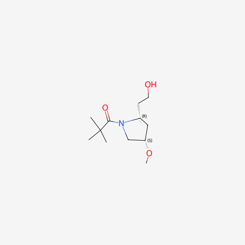 CO[C@H]1C[C@@H](CCO)N(C(=O)C(C)(C)C)C1